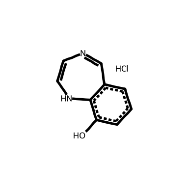 Cl.Oc1cccc2c1NC=CN=C2